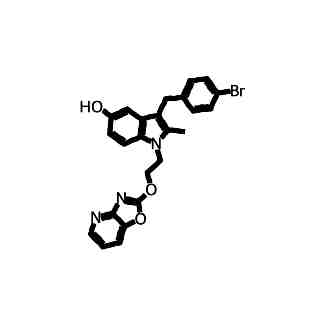 Cc1c(Cc2ccc(Br)cc2)c2cc(O)ccc2n1CCOc1nc2ncccc2o1